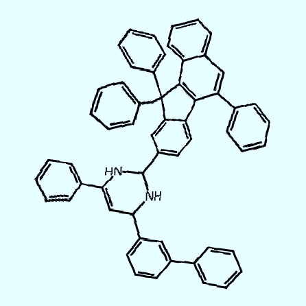 C1=C(c2ccccc2)NC(c2ccc3c(c2)C(c2ccccc2)(c2ccccc2)c2c-3c(-c3ccccc3)cc3ccccc23)NC1c1cccc(-c2ccccc2)c1